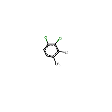 CCc1c(C(F)(F)F)ccc(Cl)c1Cl